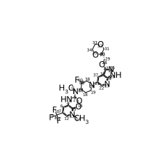 CN(C(=O)Nc1cc(C(F)(F)F)cn(C)c1=O)[C@H]1CCN(c2cnc3[nH]nc(OC[C@H]4COCCO4)c3c2)C[C@H]1F